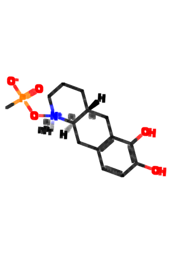 CCC[N@+]1(OP(C)(=O)[O-])CCC[C@@H]2Cc3c(ccc(O)c3O)C[C@H]21